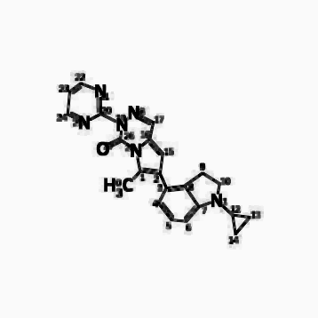 Cc1c(-c2cccc3c2CCN3C2CC2)cc2cnn(-c3ncccn3)c(=O)n12